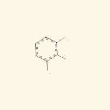 CCCCc1c(O)cccc1CCC